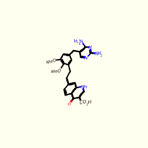 COc1cc(Cc2cnc(N)nc2N)cc(CCc2ccc3c(=O)c(C(=O)O)c[nH]c3c2)c1OC